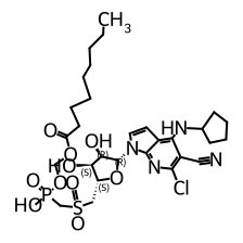 CCCCCCCCC(=O)OCOP(=O)(O)CS(=O)(=O)C[C@H]1O[C@@H](n2ccc3c(NC4CCCC4)c(C#N)c(Cl)nc32)[C@H](O)[C@@H]1O